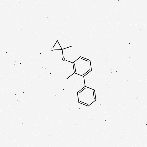 Cc1c(OC2(C)CO2)cccc1-c1ccccc1